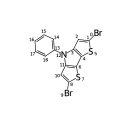 Brc1cc2c(s1)c1sc(Br)cc1n2-c1ccccc1